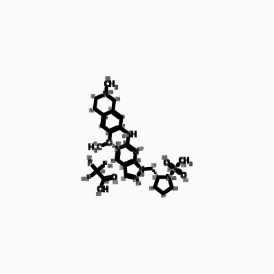 COc1cc2c(cc1Nc1ncc3cnn(C[C@H]4CCCN4S(C)(=O)=O)c3n1)CN(C)CC2.O=C(O)C(F)(F)F